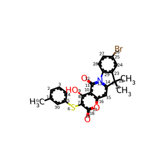 Cc1cccc(Sc2c(O)c3c(=O)n4c(cc3oc2=O)C(C)(C)c2cc(Br)ccc2-4)c1